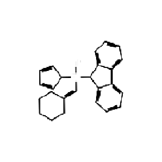 C[CH](C)[Zr]([CH]=C1CCCCC1)([CH]1C=CC=C1)[CH]1c2ccccc2-c2ccccc21